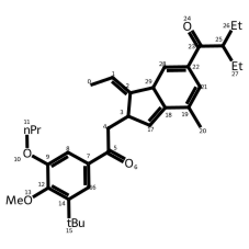 C/C=C1\C(CC(=O)c2cc(OCCC)c(OC)c(C(C)(C)C)c2)C=C2C(C)=CC(C(=O)C(CC)CC)=CC21